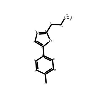 Cc1ccc(-c2cnc(CCC(=O)O)o2)cc1